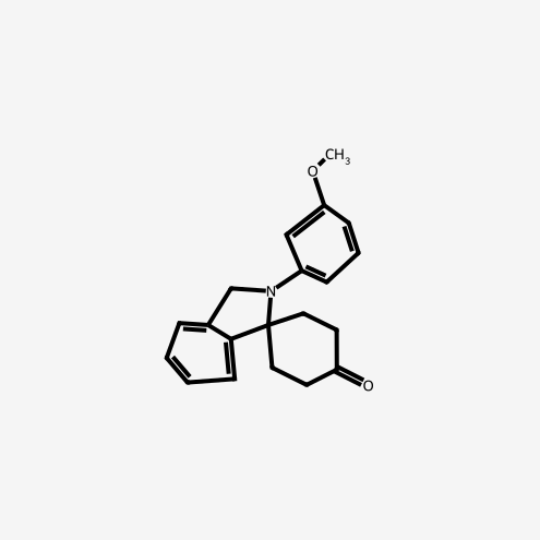 COc1cccc(N2Cc3ccccc3C23CCC(=O)CC3)c1